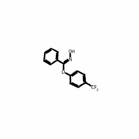 ON=C(Oc1ccc(C(F)(F)F)cc1)c1ccccc1